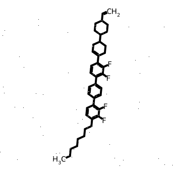 C=CC1CCC(C2CC=C(c3ccc(-c4ccc(-c5ccc(CCCCCCCC)c(F)c5F)cc4)c(F)c3F)CC2)CC1